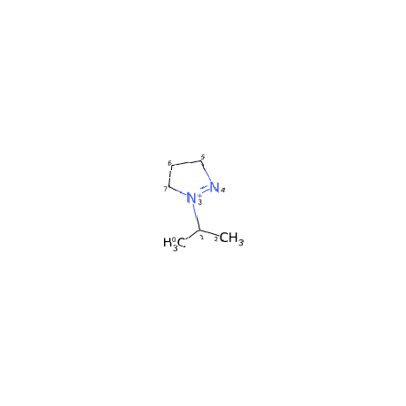 CC(C)[N+]1=NCCC1